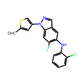 O=Cc1cc(-n2ncc3cc(Nc4ccccc4Cl)c(F)cc32)cs1